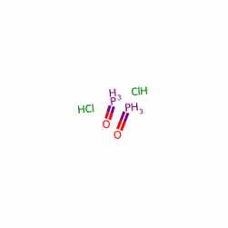 Cl.Cl.O=[PH3].O=[PH3]